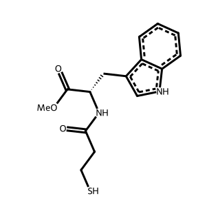 COC(=O)[C@H](Cc1c[nH]c2ccccc12)NC(=O)CCS